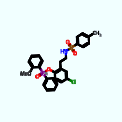 COc1ccccc1[P@](=O)(Oc1ccc(Cl)cc1CCNS(=O)(=O)c1ccc(C)cc1)c1ccccc1